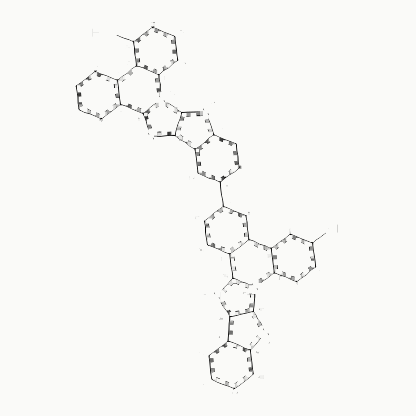 Cc1ccc2c(c1)c1cc(-c3ccc4[nH]c5c(nc6c7ccccc7c7c(C)cccc7n65)c4c3)ccc1c1nc3c4ccccc4[nH]c3n21